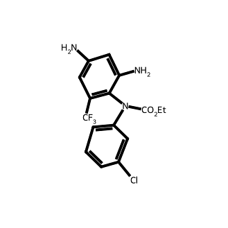 CCOC(=O)N(c1cccc(Cl)c1)c1c(N)cc(N)cc1C(F)(F)F